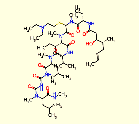 C/C=C/C[C@@H](C)[C@@H](O)CC(=O)N[C@@H](CC)C(=O)N(C)[C@H](SCCN(CC)CC)C(=O)N(C)[C@H](C(=O)N[C@H](C(=O)N(C)[C@@H](CC(C)C)C(=O)NC(=O)NC(=O)N(C)[C@@H](CC(C)C)C(=O)NC)C(C)C)C(C)CC